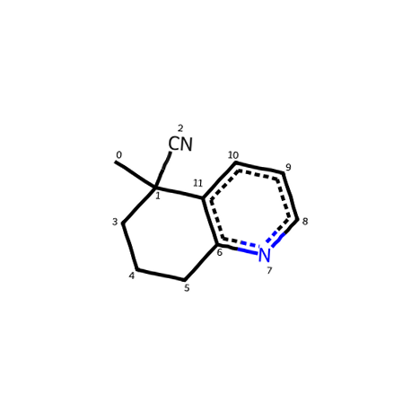 CC1(C#N)CCCc2ncccc21